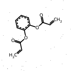 C=CC(=O)Oc1ccccc1OC(=O)C=C